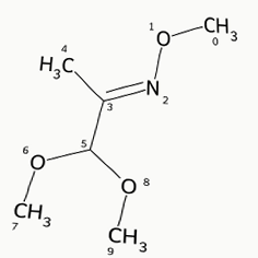 CO/N=C(\C)C(OC)OC